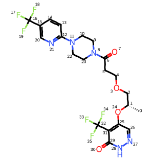 C[C@@H](COCCC(=O)N1CCN(c2ccc(C(F)(F)F)cn2)CC1)Oc1cn[nH]c(=O)c1C(F)(F)F